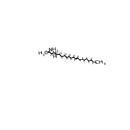 CCCCCCCCC=CCCCCCCCCNCC(C)N